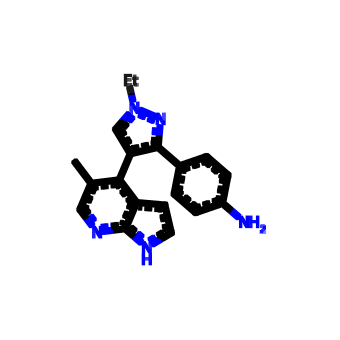 CCn1cc(-c2c(C)cnc3[nH]ccc23)c(-c2ccc(N)cc2)n1